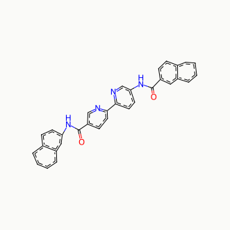 O=C(Nc1ccc2ccccc2c1)c1ccc(-c2ccc(NC(=O)c3ccc4ccccc4c3)cn2)nc1